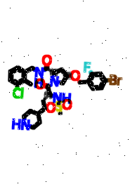 Cc1c(Cl)cccc1CNC(=O)[C@@H]1C[C@@H](OCc2ccc(Br)cc2F)CN1C(=O)[C@@H](CCC1CCNCC1)NS(C)(=O)=O